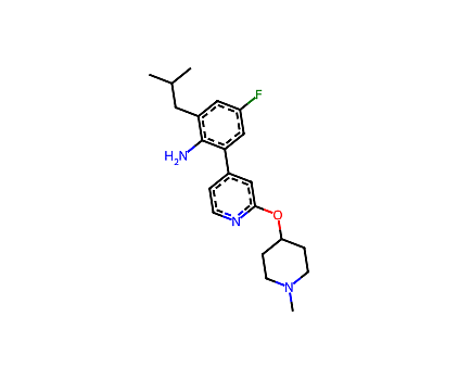 CC(C)Cc1cc(F)cc(-c2ccnc(OC3CCN(C)CC3)c2)c1N